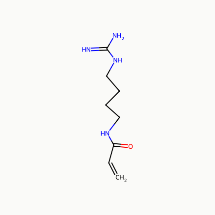 C=CC(=O)NCCCCNC(=N)N